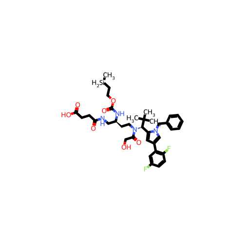 C[SiH2]CCOC(=O)N[C@@H](CCN(C(=O)CO)[C@@H](c1cc(-c2cc(F)ccc2F)cn1Cc1ccccc1)C(C)(C)C)CNC(=O)CCC(=O)O